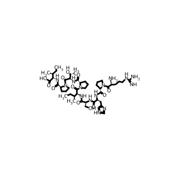 CC[C@H](C)[C@H](NC(=O)[C@@H]1CCCN1C(=O)[C@@H](NC(=O)[C@@H]1CCCN1C(=O)[C@@H](NC(=O)[C@H](CO)NC(=O)[C@H](Cc1c[nH]cn1)NC(=O)[C@@H]1CCCN1C(=O)[C@@H](N)CCCNC(=N)N)[C@@H](C)CC)[C@@H](C)O)C(=O)O